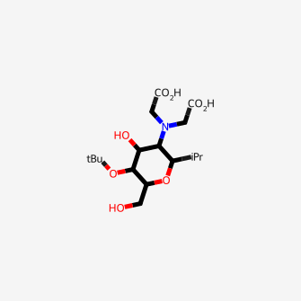 CC(C)C1OC(CO)C(OC(C)(C)C)C(O)C1N(CC(=O)O)CC(=O)O